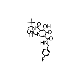 CC(C)(C)C1CO[C@@H]2Cn3cc(C(=O)NCc4ccc(F)cc4)c(=O)c(O)c3C(=O)N12